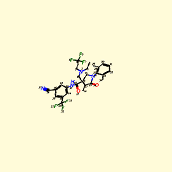 CCN(CC(F)(F)F)C[C@@]1(C(=O)Nc2cc(C#N)cc(C(F)(F)F)c2)CN(c2c(C)cccc2C)C(=O)[C@H]1C